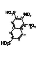 O=[N+]([O-])c1c(S(=O)(=O)O)cc2cc(S(=O)(=O)O)ccc2c1[N+](=O)[O-]